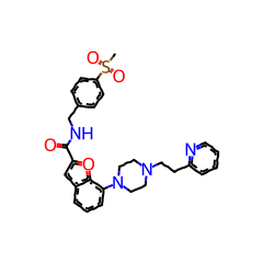 CS(=O)(=O)c1ccc(CNC(=O)c2cc3cccc(N4CCN(CCc5ccccn5)CC4)c3o2)cc1